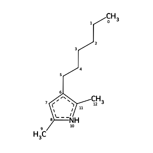 CCCCCCc1cc(C)[nH]c1C